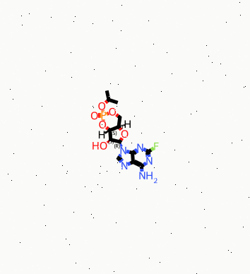 CC(C)OP1(=O)OC[C@H]2O[C@@H](n3cnc4c(N)nc(F)nc43)[C@@H](O)[C@@H]2O1